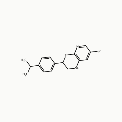 CC(C)c1ccc(C2CNc3cc(Br)cnc3O2)cc1